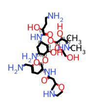 CN[C@@H](C)[C@@H](O)[C@H](OCCO)O[C@@H]1[C@@H](O)[C@H](O[C@H]2OC(CN)=CC[C@H]2NC(=O)CC2CNCCO2)[C@@H](N)C[C@H]1NC(=O)[C@@H](O)CCN